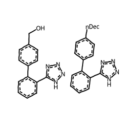 CCCCCCCCCCc1ccc(-c2ccccc2-c2nnn[nH]2)cc1.OCc1ccc(-c2ccccc2-c2nnn[nH]2)cc1